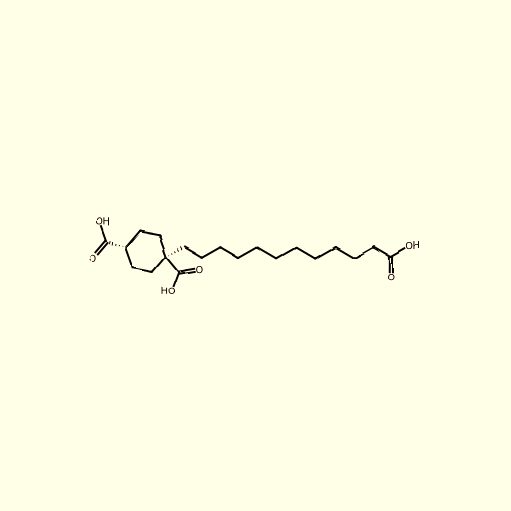 O=C(O)CCCCCCCCCCC[C@]1(C(=O)O)CC[C@H](C(=O)O)CC1